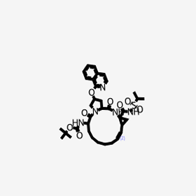 CC(C)S(=O)(=O)NC(=O)C12CC1/C=C\CCCCCC(NC(=O)OC(C)(C)C)C(=O)N1CC(Oc3nccc4ccccc34)CC1C(=O)N2